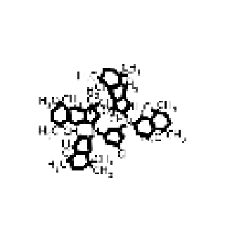 CC1(C)C=C(N(c2cc(Cl)cc(N(C3=Cc4cc5c(cc4C3(C)C)C(C)(C)CCC5(C)C)c3ccc4c(c3)C(C)(C)CCC4(C)C)c2)c2ccc3c(c2)C(C)(C)CCC3(C)C)c2cc3c(cc21)C(C)(C)CCC3(C)C